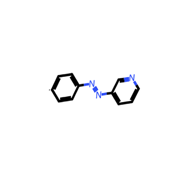 [c]1ccc(N=Nc2cccnc2)cc1